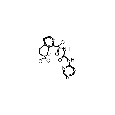 O=C(Nc1ncncn1)NS(=O)(=O)c1cccc2c1OS(=O)(=O)CC2